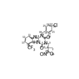 CC(C)(Cn1c(=O)[nH]/c(=N\c2cccc(C(F)(F)F)c2)n(Cc2ccc(Cl)cc2)c1=O)C(=O)N=O